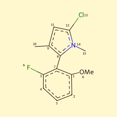 COc1cccc(F)c1-c1c(C)cc(Cl)n1C